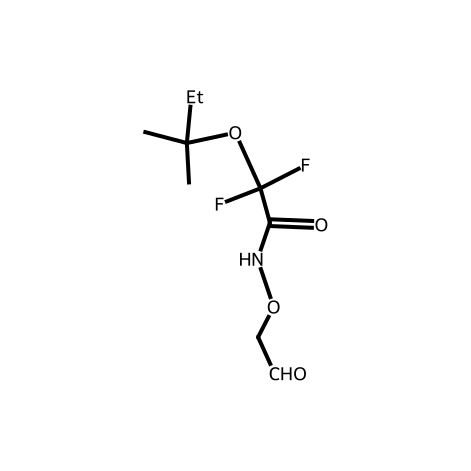 CCC(C)(C)OC(F)(F)C(=O)NOCC=O